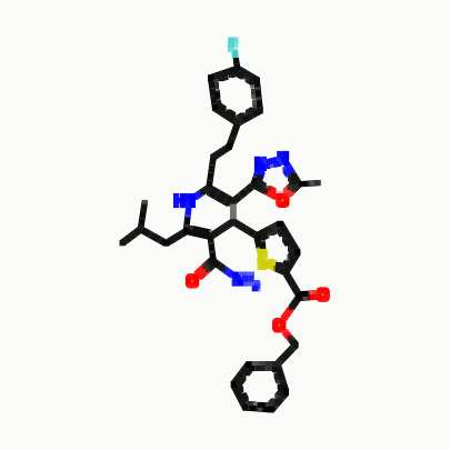 Cc1nnc(C2=C(CCc3ccc(F)cc3)NC(CC(C)C)=C(C(N)=O)C2c2ccc(C(=O)OCc3ccccc3)s2)o1